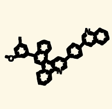 COc1cc(C)cc(-c2cc3c4ccccc4c4ncc(-c5ccc(-c6cnc7ccccc7c6)cc5)cc4c3c3ccccc23)c1